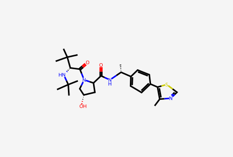 Cc1ncsc1-c1ccc([C@@H](C)NC(=O)C2C[C@H](O)CN2C(=O)[C@H](NC(C)(C)C)C(C)(C)C)cc1